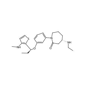 CCN[C@H]1CCCN(c2cccc(O[C@@H](CC)c3sccc3NC)c2)C(=O)C1